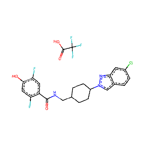 O=C(NCC1CCC(n2cc3ccc(Cl)cc3n2)CC1)c1cc(F)c(O)cc1F.O=C(O)C(F)(F)F